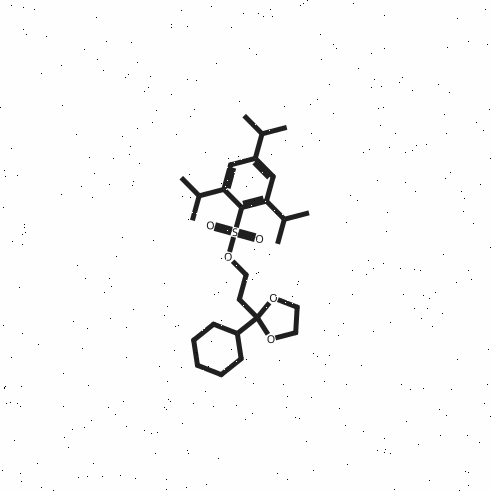 CC(C)c1cc(C(C)C)c(S(=O)(=O)OCCC2(C3CCCCC3)OCCO2)c(C(C)C)c1